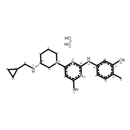 CCCc1cc(N2CCC[C@@H](NCC3CC3)C2)nc(Nc2ccc(C)c(C#N)c2)n1.Cl.Cl